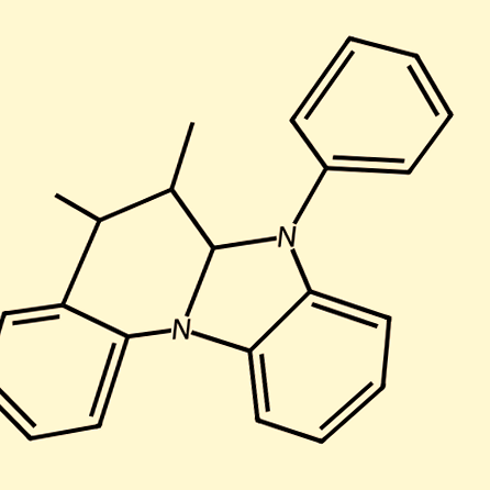 CC1c2ccccc2N2c3ccccc3N(c3ccccc3)C2C1C